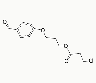 O=Cc1ccc(OCCCOC(=O)CCCl)cc1